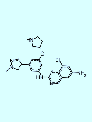 CN1CC(c2cc(Nc3ncc4cc(N)cc(Cl)c4n3)cc(O[C@H]3CCNC3)c2)C=N1